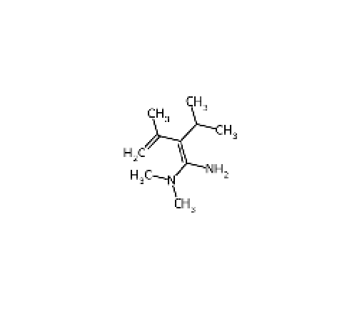 C=C(C)/C(=C(/N)N(C)C)C(C)C